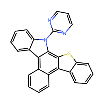 c1cnc(-n2c3ccccc3c3c4ccccc4c4c5ccccc5sc4c32)nc1